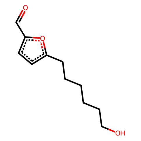 O=Cc1ccc(CCCCCCO)o1